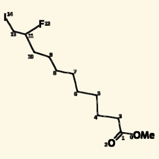 COC(=O)CCCCCCCCC(F)CI